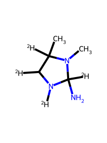 [2H]C1N([2H])C([2H])(N)N(C)C1([2H])C